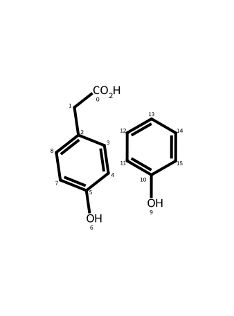 O=C(O)Cc1ccc(O)cc1.Oc1ccccc1